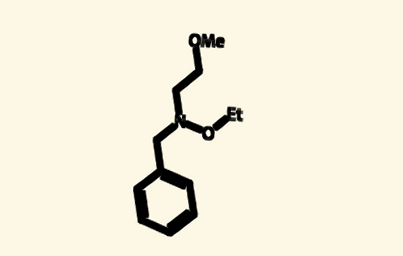 CCON(CCOC)Cc1ccccc1